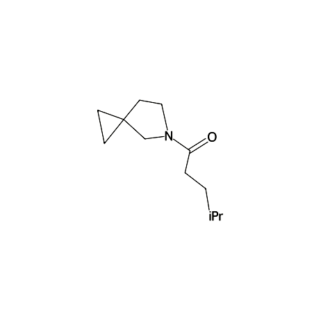 CC(C)CCC(=O)N1CCC2(CC2)C1